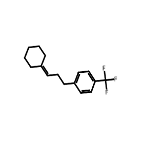 FC(F)(F)c1ccc(CCC=C2CCCCC2)cc1